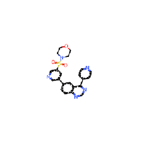 O=S(=O)(c1cncc(-c2ccc3ncnc(-c4ccncc4)c3c2)c1)N1CCOCC1